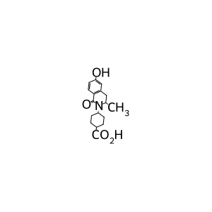 CC1Cc2cc(O)ccc2C(=O)N1[C@H]1CC[C@H](C(=O)O)CC1